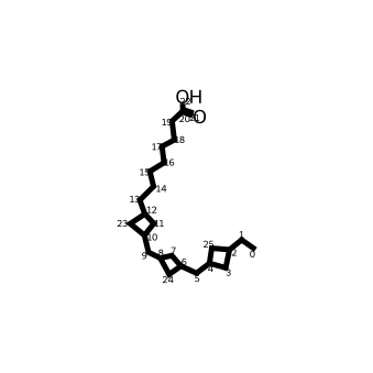 CCC1CC(CC2CC(CC3CC(CCCCCCCC(=O)O)C3)C2)C1